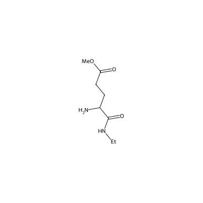 CCNC(=O)C(N)CCC(=O)OC